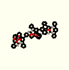 c1ccc(-n2c3ccccc3c3c(-c4ccc5c6ccc(-n7c8ccccc8c8ccc9c%10ccccc%10n(-c%10cnc%11ccccc%11n%10)c9c87)cc6c6ccccc6c5c4)cc4c5ccccc5n(-c5nc6ccc(-c7cc8c9ccccc9n(-c9nc%10ccccc%10nc9-c9cccc%10ccccc9%10)c8c8c7c7ccccc7n8-c7ccccc7)cc6nc5-c5ccc6ccccc6c5)c4c32)cc1